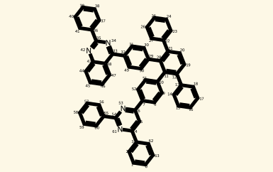 c1ccc(-c2cc(-c3ccc(-c4c(-c5ccccc5)ccc(-c5ccccc5)c4-c4ccc(-c5nc(-c6ccccc6)nc6ccccc56)cc4)cc3)nc(-c3ccccc3)n2)cc1